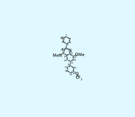 CNc1nc(-c2cccnc2)nc2c(OC)cc(-c3cccc(OC(F)(F)F)c3)cc12